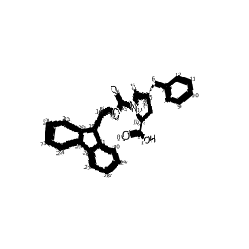 O=C(O)[C@@H]1C[C@@H](Cc2ccccc2)CN1C(=O)OCC1c2ccccc2-c2ccccc21